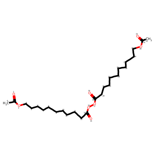 CC(=O)OCCCCCCCCCCC(=O)OOC(=O)CCCCCCCCCCOC(C)=O